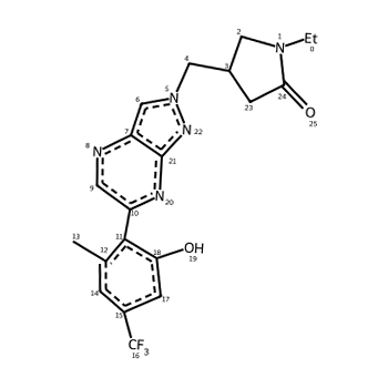 CCN1CC(Cn2cc3ncc(-c4c(C)cc(C(F)(F)F)cc4O)nc3n2)CC1=O